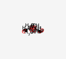 CCC[Si]1(C)O[Si](C)(CCC2CC34CC(O3)C2C4)O[Si](C)(C)O[Si](C)(CCC2CC3CC24CC3O4)O1